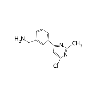 Cc1nc(Cl)cc(-c2cccc(CN)c2)n1